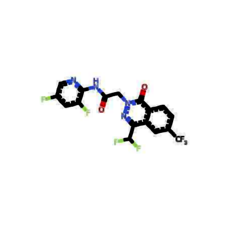 O=C(Cn1nc(C(F)F)c2cc(C(F)(F)F)ccc2c1=O)Nc1ncc(F)cc1F